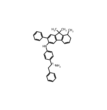 CC1CC=CC2=C1C(C)(C)c1cc(-c3ccccc3)c(Nc3ccc([C@H](N)Cc4ccccc4)cc3)cc12